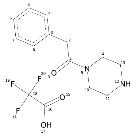 O=C(Cc1ccccc1)N1CCNCC1.O=C(O)C(F)(F)F